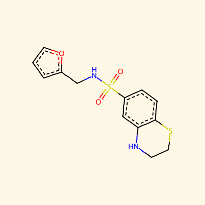 O=S(=O)(NCc1ccco1)c1ccc2c(c1)NCCS2